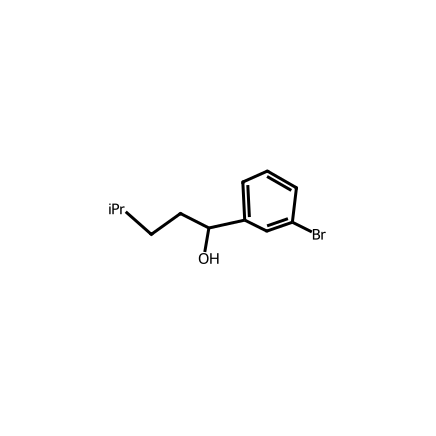 CC(C)CCC(O)c1cccc(Br)c1